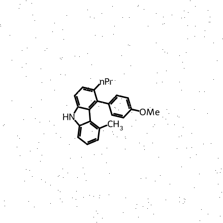 CCCc1ccc2[nH]c3cccc(C)c3c2c1-c1ccc(OC)cc1